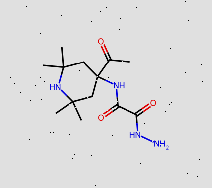 CC(=O)C1(NC(=O)C(=O)NN)CC(C)(C)NC(C)(C)C1